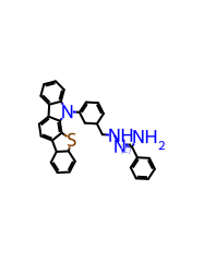 N/C(=N\NCC1C=CC=C(n2c3ccccc3c3ccc4c(c32)SC2C=CC=CC42)C1)c1ccccc1